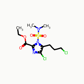 CCOC(=O)c1nc(Cl)c(CCCCl)n1S(=O)(=O)N(C)C